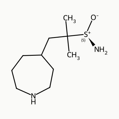 CC(C)(CC1CCCNCC1)[S@+](N)[O-]